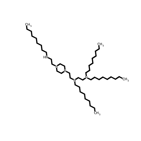 CCCCCCCCCNCCN1CCN(CCN(CCCCCCCCC)CCN(CCCCCCCCC)CCCCCCCCC)CC1